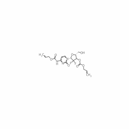 C=CCOC(=O)Nc1ccn([C@@H]2O[C@H](CO)C(OC(=O)OCC=C)C2(F)F)c(=O)n1